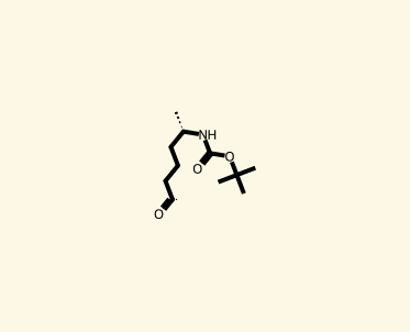 C[C@@H](CCC[C]=O)NC(=O)OC(C)(C)C